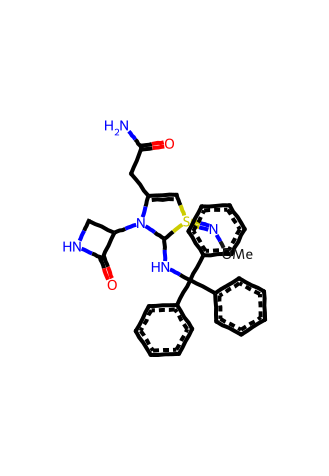 CO/N=S1/C=C(CC(N)=O)N(C2CNC2=O)C1NC(c1ccccc1)(c1ccccc1)c1ccccc1